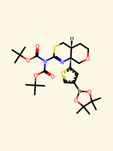 CC(C)(C)OC(=O)N(C(=O)OC(C)(C)C)C1=N[C@@]2(c3cc(B4OC(C)(C)C(C)(C)O4)cs3)COCC[C@H]2CS1